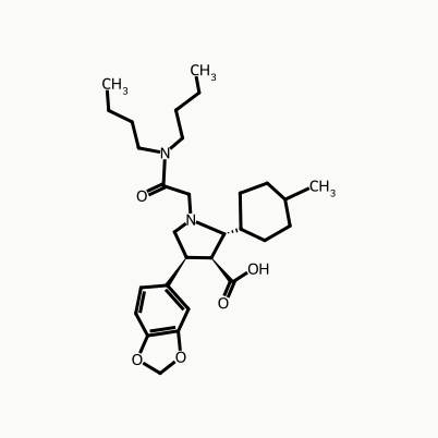 CCCCN(CCCC)C(=O)CN1C[C@H](c2ccc3c(c2)OCO3)[C@H](C(=O)O)[C@H]1C1CCC(C)CC1